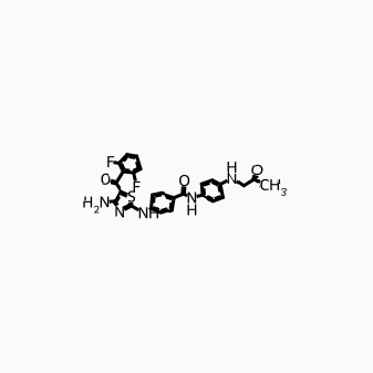 CC(=O)CNc1ccc(NC(=O)c2ccc(Nc3nc(N)c(C(=O)c4c(F)cccc4F)s3)cc2)cc1